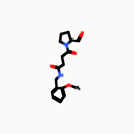 COc1ccccc1CNC(=O)CCC(=O)N1CCC[C@H]1C=O